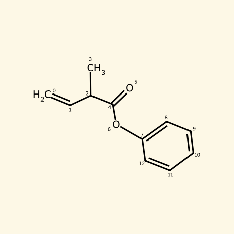 C=CC(C)C(=O)Oc1ccccc1